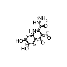 NNC(=O)c1[nH]c2cc(O)c(O)cc2c(=O)c1[C]=O